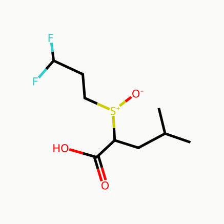 CC(C)CC(C(=O)O)[S+]([O-])CCC(F)F